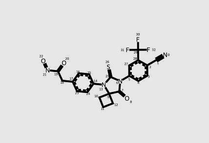 N#Cc1ccc(N2C(=O)C3(CCC3)N(c3ccc(CC(=O)N=O)cc3)C2=S)cc1C(F)(F)F